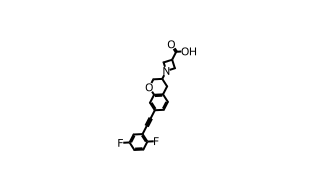 O=C(O)C1CN(C2COc3cc(C#Cc4cc(F)ccc4F)ccc3C2)C1